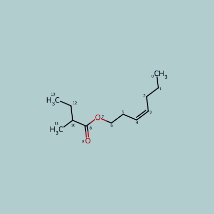 CCC/C=C\CCOC(=O)C(C)CC